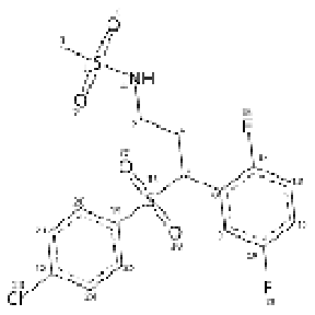 CS(=O)(=O)NCCC(c1cc(F)ccc1F)S(=O)(=O)c1ccc(Cl)cc1